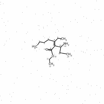 CCCCC(CC)=C(C(=O)OCC)C(N)CC